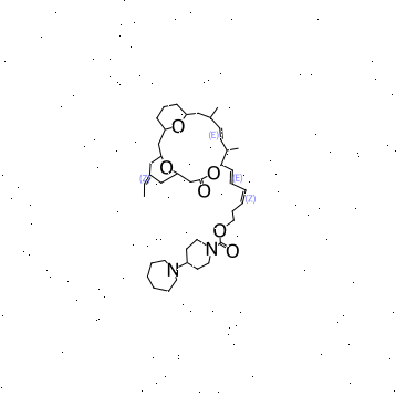 C/C=C1\CC2CC(=O)OC(/C=C/C=C\CCOC(=O)N3CCC(N4CCCCCC4)CC3)C(C)/C=C/C(C)CC3CCCC(CC(C1)O2)O3